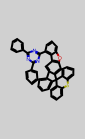 c1ccc(-c2nc(-c3ccccc3)nc(-c3cccc4oc5cc6c(cc5c34)-c3ccccc3C63c4ccccc4Sc4ccccc43)n2)cc1